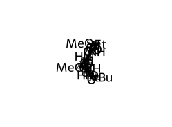 CCN(CC(=O)OC)C(=O)CNC(=O)CNC(=O)CN(CC(=O)OC)C(=O)CNC(=O)CNC(=O)OC(C)(C)C